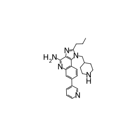 CCCc1nc2c(N)nc3cc(-c4cccnc4)ccc3c2n1CC1CCNCC1